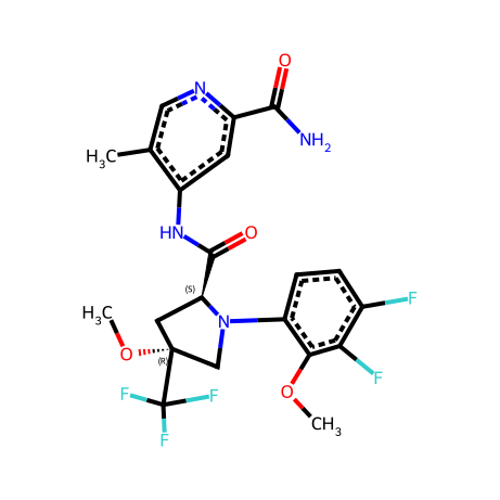 COc1c(N2C[C@@](OC)(C(F)(F)F)C[C@H]2C(=O)Nc2cc(C(N)=O)ncc2C)ccc(F)c1F